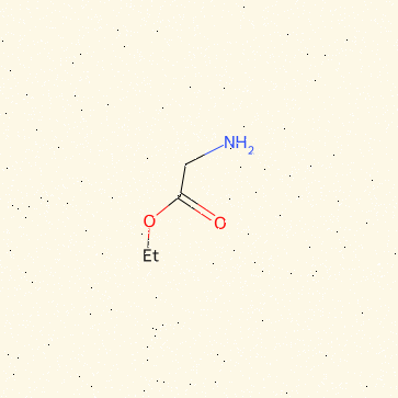 [CH2]COC(=O)CN